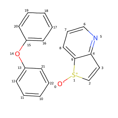 [O-][s+]1ccc2ncccc21.c1ccc(Oc2ccccc2)cc1